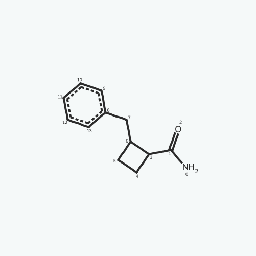 NC(=O)C1CCC1Cc1ccccc1